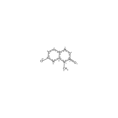 Cn1c(=O)cnc2ccc(Cl)nc21